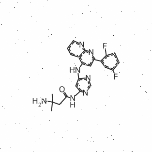 CC(C)(N)CC(=O)Nc1cc(Nc2cc(-c3cc(F)ccc3F)nc3ncccc23)ncn1